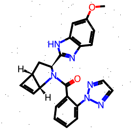 COc1ccc2nc([C@@H]3C[C@H]4C=C[C@H]4N3C(=O)c3ccccc3-n3nccn3)[nH]c2c1